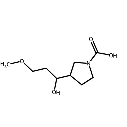 COCCC(O)C1CCN(C(=O)O)C1